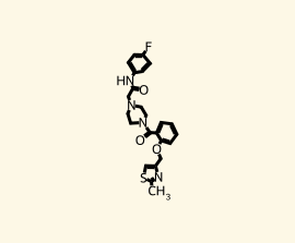 Cc1nc(COc2ccccc2C(=O)N2CCN(CC(=O)Nc3ccc(F)cc3)CC2)cs1